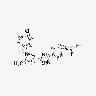 Cc1cc(-c2nc(-c3ccc(OC(F)F)cc3)no2)nn1Cc1ccc(Cl)nc1